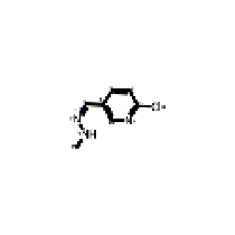 CN/N=C\c1ccc(Cl)nc1